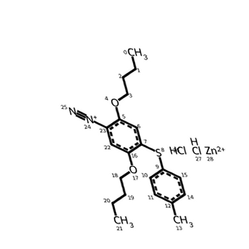 CCCCOc1cc(Sc2ccc(C)cc2)c(OCCCC)cc1[N+]#N.Cl.Cl.[Zn+2]